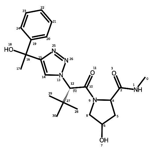 CNC(=O)C1CC(O)CN1C(=O)[C@@H](n1cc(C(C)(O)c2ccccc2)nn1)C(C)(C)C